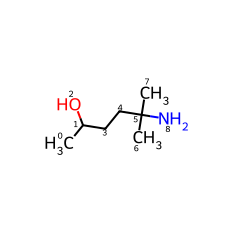 CC(O)CCC(C)(C)N